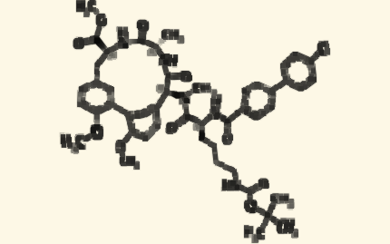 COC(=O)[C@@H]1Cc2ccc(OC)c(c2)-c2cc(ccc2OC)[C@H](N(C)C(=O)[C@H](CCCCNC(=O)OC(C)(C)C)NC(=O)c2ccc(-c3ccc(Cl)cc3)cc2)C(=O)N[C@@H](C)C(=O)N1